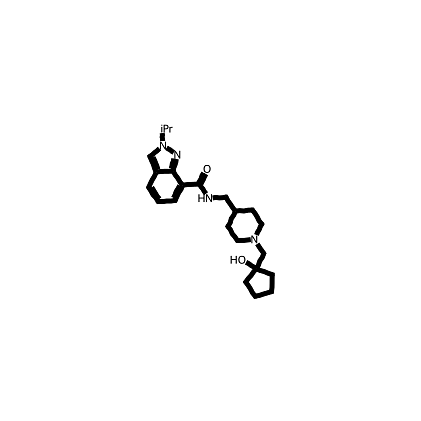 CC(C)n1cc2cccc(C(=O)NCC3CCN(CC4(O)CCCC4)CC3)c2n1